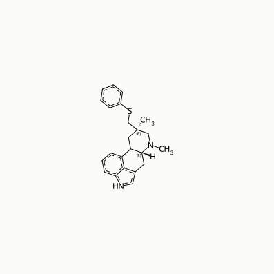 CN1C[C@](C)(CSc2ccccc2)CC2c3cccc4[nH]cc(c34)C[C@H]21